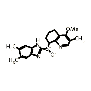 COc1c(C)cnc2c1CCCC2[S+]([O-])c1nc2cc(C)c(C)cc2[nH]1